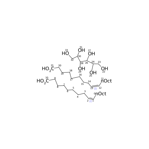 CCCCCCCC/C=C\CCCCCCCC(=O)O.CCCCCCCC/C=C\CCCCCCCC(=O)O.OCC(O)C(O)C(O)C(O)CO